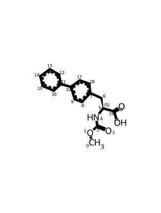 COC(=O)N[C@@H](Cc1ccc(-c2ccccc2)cc1)C(=O)O